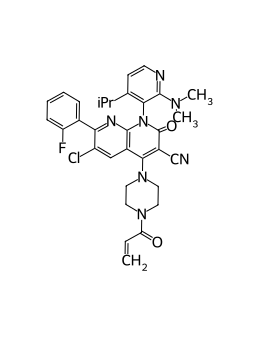 C=CC(=O)N1CCN(c2c(C#N)c(=O)n(-c3c(C(C)C)ccnc3N(C)C)c3nc(-c4ccccc4F)c(Cl)cc23)CC1